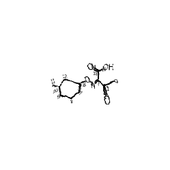 CC(=O)C(=NO[C@H]1CCC[C@@H](C)C1)C(=O)O